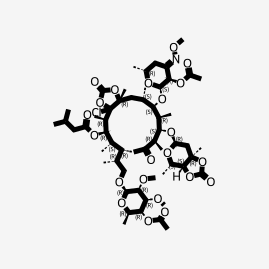 CON=C1C[C@@H](C)O[C@@H](O[C@@H]2[C@@H](C)[C@H](O[C@H]3C[C@@]4(C)OC(=O)O[C@H]4[C@H](C)O3)[C@@H](C)C(=O)C[C@H]([C@@H](C)CO[C@@H]3O[C@H](C)[C@@H](OC(C)=O)[C@@H](OC)[C@H]3OC)[C@H](C)[C@@H](OC(=O)CC(C)C)[C@@H](C)C3(Cl)OC(=O)O[C@]3(C)C[C@@H]2C)[C@@H]1OC(C)=O